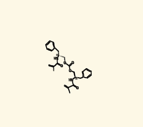 C=C(C)C(=O)N[C@@H](COC(=O)OC[C@@H](Cc1ccccc1)NC(=O)C(=C)C)Cc1ccccc1